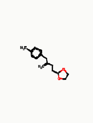 C=C(CCC1OCCO1)Cc1ccc(C)cc1